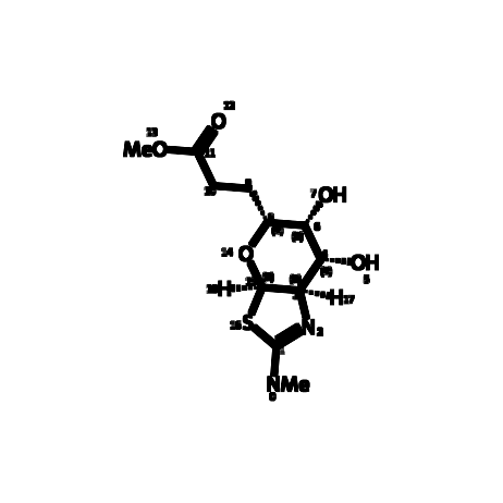 CNC1=N[C@@H]2[C@@H](O)[C@@H](O)[C@@H](CCC(=O)OC)O[C@@H]2S1